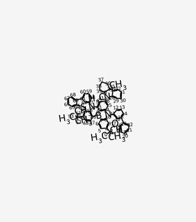 CC(C)(C)c1ccc2c(c1)N(c1cccc3c1oc1ccccc13)c1cc(N3c4ccccc4[C@]4(C)CCCCC34C)cc3c1B2c1ccc(C(C)(C)C)cc1N3c1cccc2c1sc1ccccc12